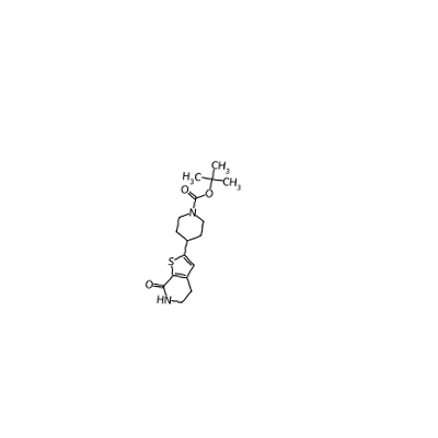 CC(C)(C)OC(=O)N1CCC(c2cc3c(s2)C(=O)NCC3)CC1